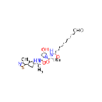 Cc1ncsc1-c1ccc([C@H](C)NC(=O)[C@@H]2C[C@@H](O)CN2C(=O)[C@@H](NC(=O)CCCCCCCCCCC=O)C(C)(C)C)cc1